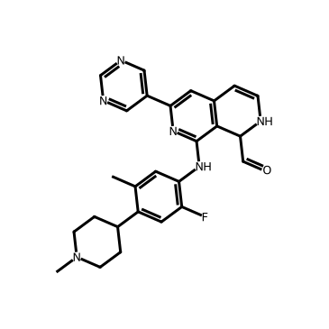 Cc1cc(Nc2nc(-c3cncnc3)cc3c2C(C=O)NC=C3)c(F)cc1C1CCN(C)CC1